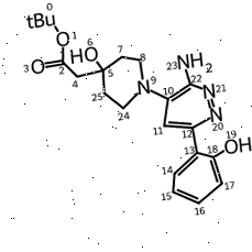 CC(C)(C)OC(=O)CC1(O)CCN(c2cc(-c3ccccc3O)nnc2N)CC1